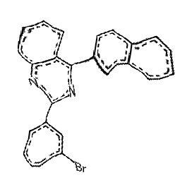 Brc1cccc(-c2nc(-c3ccc4ccccc4c3)c3ccccc3n2)c1